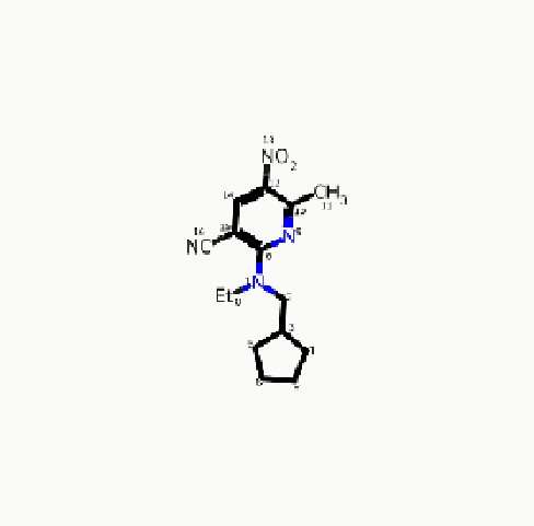 CCN(CC1CCCC1)c1nc(C)c([N+](=O)[O-])cc1C#N